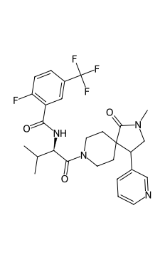 CC(C)[C@@H](NC(=O)c1cc(C(F)(F)F)ccc1F)C(=O)N1CCC2(CC1)C(=O)N(C)CC2c1cccnc1